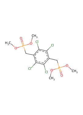 COP(=O)(Cc1c(Cl)c(Cl)c(CP(=O)(OC)OC)c(Cl)c1Cl)OC